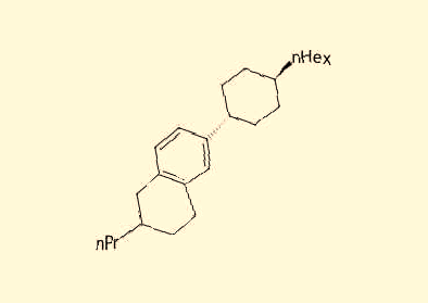 CCCCCC[C@H]1CC[C@H](c2ccc3c(c2)CCC(CCC)C3)CC1